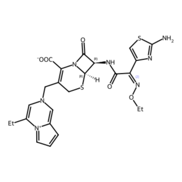 CCO/N=C(\C(=O)N[C@@H]1C(=O)N2C(C(=O)[O-])=C(Cn3cc4ccc[n+]-4c(CC)c3)CS[C@H]12)c1csc(N)n1